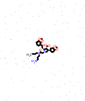 CCCCN(CCCN)C(=O)CN1C[C@H](c2ccc3c(c2)OCO3)[C@@H](C(=O)O)[C@@H]1CCc1cccc2c1OCO2